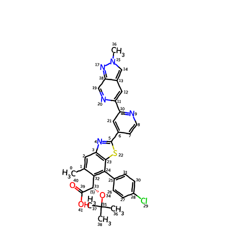 Cc1cc2nc(-c3ccnc(-c4cc5cn(C)nc5cn4)c3)sc2c(-c2ccc(Cl)cc2)c1[C@H](OC(C)(C)C)C(=O)O